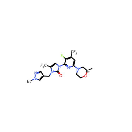 CCn1cc(Cn2c(C(F)(F)F)cn(-c3nc(N4CCO[C@H](C)C4)cc(C(F)(F)F)c3F)c2=O)cn1